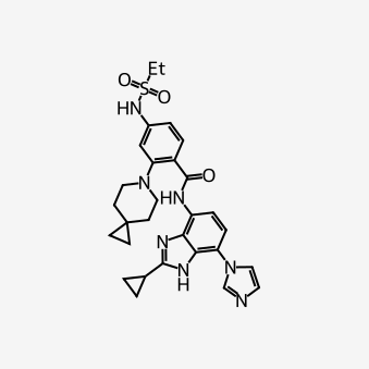 CCS(=O)(=O)Nc1ccc(C(=O)Nc2ccc(-n3ccnc3)c3[nH]c(C4CC4)nc23)c(N2CCC3(CC2)CC3)c1